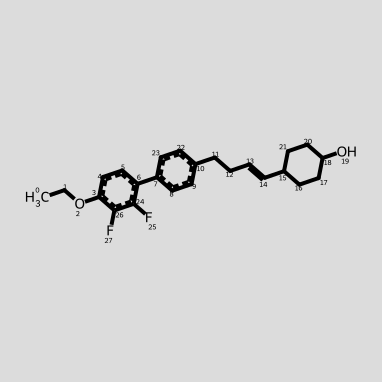 CCOc1ccc(-c2ccc(CCC=CC3CCC(O)CC3)cc2)c(F)c1F